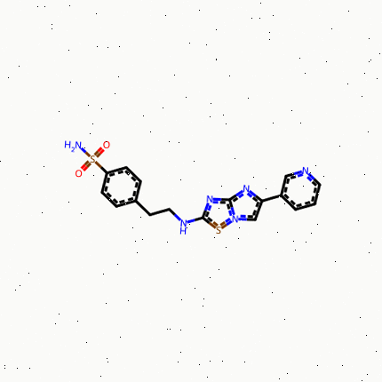 NS(=O)(=O)c1ccc(CCNc2nc3nc(-c4cccnc4)cn3s2)cc1